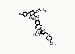 C/C=C(/Oc1ccc(NC(=O)c2c(OCC)ccn(-c3ccc(F)cc3)c2=O)cc1F)c1sc(CN2CCN(C)CC2)cc1N